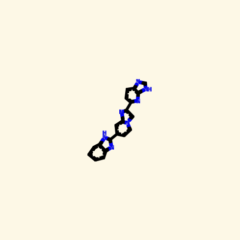 c1ccc2[nH]c(-c3ccn4cc(-c5ccc6nc[nH]c6n5)nc4c3)nc2c1